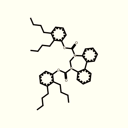 CCCCc1cccc(OC(=O)N2CN(C(=O)Oc3cccc(CCCC)c3CCCC)c3ccccc3-c3ccccc32)c1CCCC